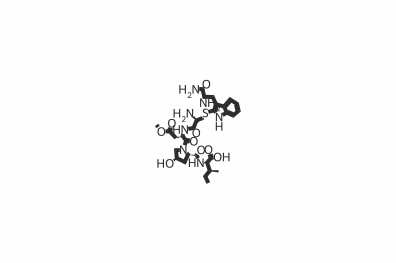 CC[C@H](C)[C@H](NC(=O)[C@@H]1C[C@@H](O)CN1C(=O)[C@H](CC(=O)OC)NC(=O)[C@@H](N)CSc1[nH]c2ccccc2c1C[C@H](N)C(N)=O)C(=O)O